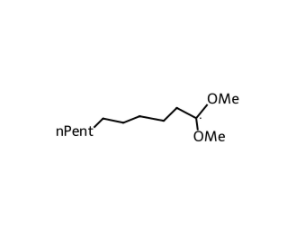 CCCCCCCCCC[C](OC)OC